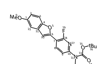 COc1ccc2oc(-c3ccc(N(C)C(=O)OC(C)(C)C)nc3F)cc2c1